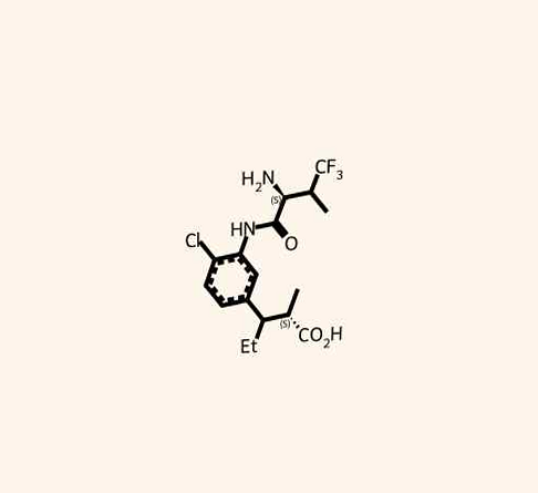 CCC(c1ccc(Cl)c(NC(=O)[C@@H](N)C(C)C(F)(F)F)c1)[C@H](C)C(=O)O